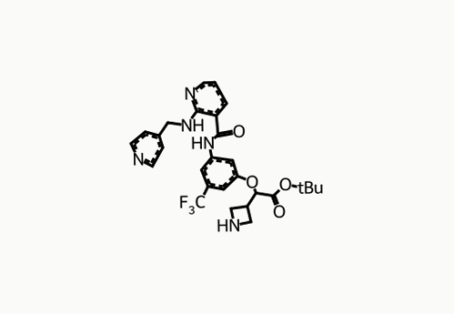 CC(C)(C)OC(=O)C(Oc1cc(NC(=O)c2cccnc2NCc2ccncc2)cc(C(F)(F)F)c1)C1CNC1